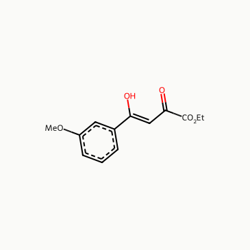 CCOC(=O)C(=O)/C=C(\O)c1cccc(OC)c1